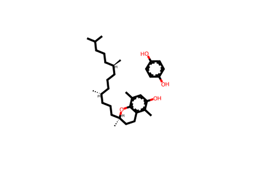 Cc1cc(O)c(C)c2c1O[C@](C)(CCC[C@H](C)CCC[C@H](C)CCCC(C)C)CC2.Oc1ccc(O)cc1